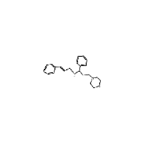 C(=C\c1ccccc1)/CNC(CCN1CCOCC1)c1ccccc1